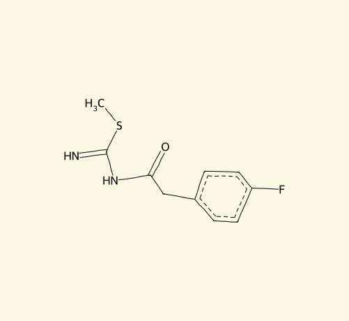 CSC(=N)NC(=O)Cc1ccc(F)cc1